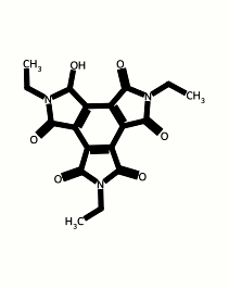 CCN1C(=O)c2c(c3c(=O)n(CC)c(=O)c3c3c(=O)n(CC)c(=O)c23)C1O